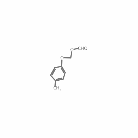 Cc1ccc(OCOC=O)cc1